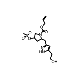 C=CCOC(=O)N1CC(OS(C)(=O)=O)CC1Cc1cc(CCO)[nH]n1